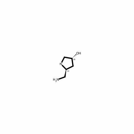 NC[C@@H]1C[C@@H](O)C[N]1